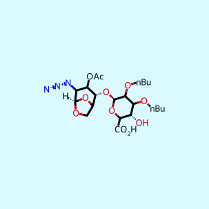 CCCCOC1C(OCCCC)[C@H](O)C(C(=O)O)O[C@H]1O[C@@H]1C2CO[C@H](O2)C(N=[N+]=[N-])C1OC(C)=O